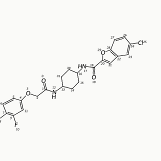 O=C(COc1ccc(Cl)c(F)c1)NC1CCC(NC(=O)c2cc3cc(Cl)ccc3o2)CC1